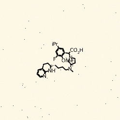 COc1c(F)cc(C(C)C)cc1C(C(=O)O)N1CC[C@@H](N(C)CCCC[C@H]2CCc3cccnc3N2)C1